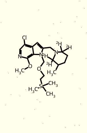 [2H]C1([2H])CCC(C)C([2H])([2H])N1Cc1cc2c(Cl)cnc(OC)c2n1COCC[Si](C)(C)C